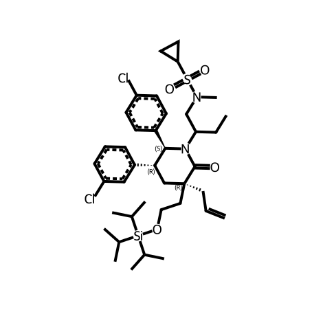 C=CC[C@]1(CCO[Si](C(C)C)(C(C)C)C(C)C)C[C@H](c2cccc(Cl)c2)[C@@H](c2ccc(Cl)cc2)N(C(CC)CN(C)S(=O)(=O)C2CC2)C1=O